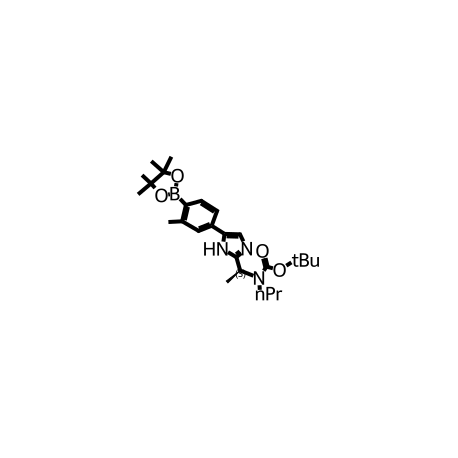 CCCN(C(=O)OC(C)(C)C)[C@@H](C)c1ncc(-c2ccc(B3OC(C)(C)C(C)(C)O3)c(C)c2)[nH]1